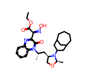 CCOC(=O)/C(=N\O)c1nc2ccccc2n([C@@H](C)C[C@@H]2CO[C@H](C)N2C2CC3CCCCC(C3)C2)c1=O